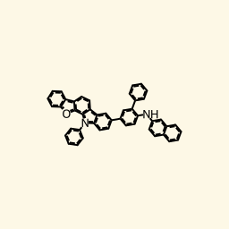 c1ccc(-c2cc(-c3ccc4c(c3)c3ccc5c6ccccc6oc5c3n4-c3ccccc3)ccc2Nc2ccc3ccccc3c2)cc1